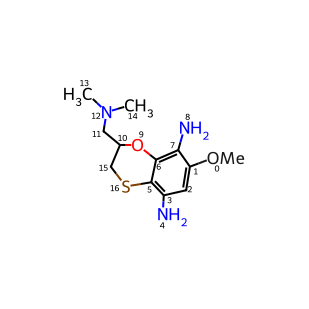 COc1cc(N)c2c(c1N)OC(CN(C)C)CS2